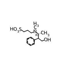 C[C@H](C(CO)c1ccccc1)N(C)CCCS(=O)(=O)O